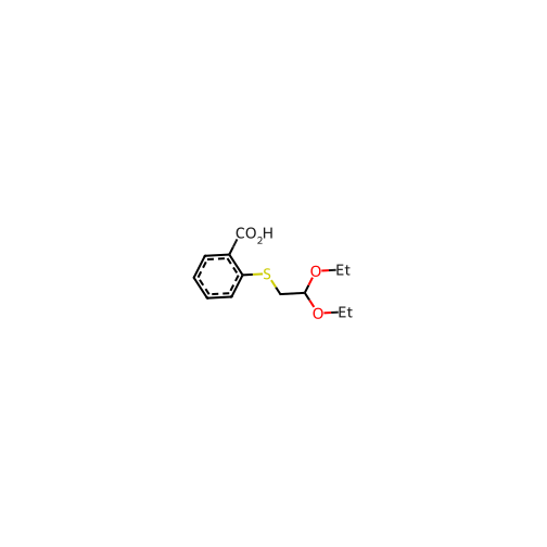 CCOC(CSc1ccccc1C(=O)O)OCC